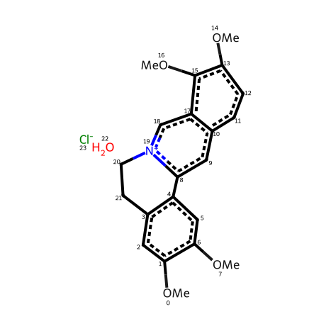 COc1cc2c(cc1OC)-c1cc3ccc(OC)c(OC)c3c[n+]1CC2.O.[Cl-]